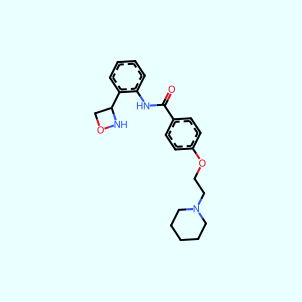 O=C(Nc1ccccc1C1CON1)c1ccc(OCCN2CCCCC2)cc1